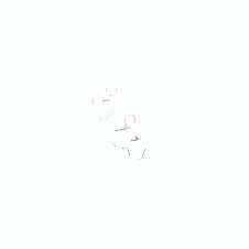 O=C(O)C=Cc1ccc2ccccc2c1O